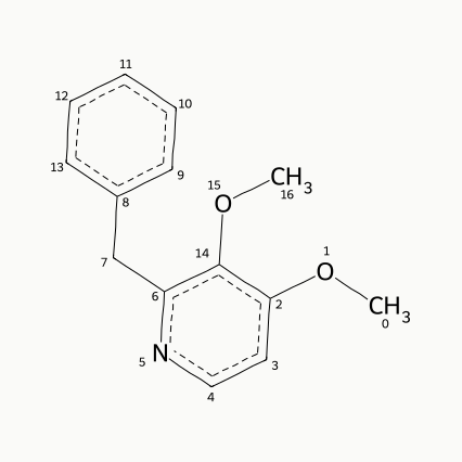 COc1ccnc(Cc2ccccc2)c1OC